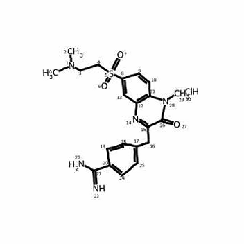 CN(C)CCS(=O)(=O)c1ccc2c(c1)nc(Cc1ccc(C(=N)N)cc1)c(=O)n2C.Cl